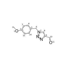 COc1ccc(Cn2cc(C=O)nn2)cc1